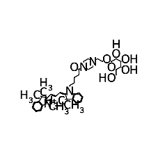 C[N+]1=C(/C=C/C=C2/N(CCCCC(=O)N3CCN(CCOC4OC(CO)C(O)C(O)C4O)CC3)c3ccccc3C2(C)C)C(C)(C)c2ccccc21